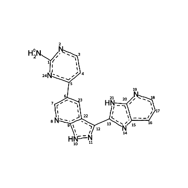 Nc1nccc(-c2cnc3[nH]nc(-c4nc5cccnc5[nH]4)c3c2)n1